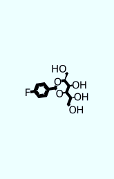 OC[C@@H](O)[C@H]1OC(c2ccc(F)cc2)O[C@@H](CO)[C@H]1O